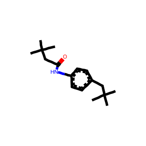 CC(C)(C)CC(=O)Nc1ccc(CC(C)(C)C)cc1